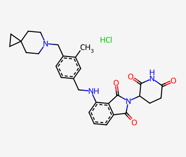 Cc1cc(CNc2cccc3c2C(=O)N(C2CCC(=O)NC2=O)C3=O)ccc1CN1CCC2(CC1)CC2.Cl